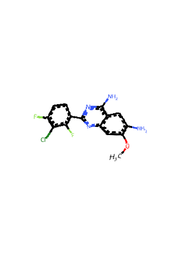 COc1cc2nc(-c3ccc(F)c(Cl)c3F)nc(N)c2cc1N